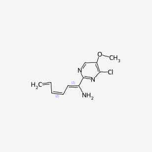 C=C/C=C\C=C(/N)c1ncc(OC)c(Cl)n1